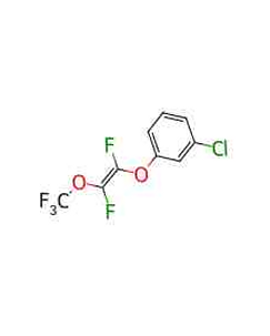 F/C(Oc1cccc(Cl)c1)=C(/F)OC(F)(F)F